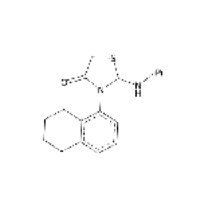 CC(C)NC1SCC(=O)N1c1cccc2c1CCCC2